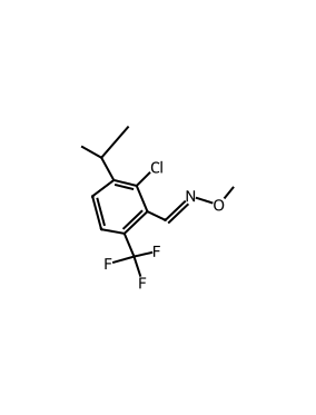 CO/N=C/c1c(C(F)(F)F)ccc(C(C)C)c1Cl